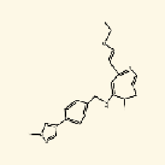 CCO/C=C/C1=N/C=C/CC(C)/C(NCc2ccc(-c3cnn(C)c3)cc2)=C\1